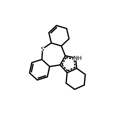 C1=CC2SC3C=CCCC3c3[nH]c4c(c3C2C=C1)CCCC4